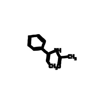 CC=C(NC(C)=O)c1ccccc1